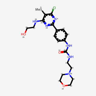 CSc1c(Cl)nc(-c2ccc(NC(=O)NCCN3CCOCC3)cc2)nc1NCCO